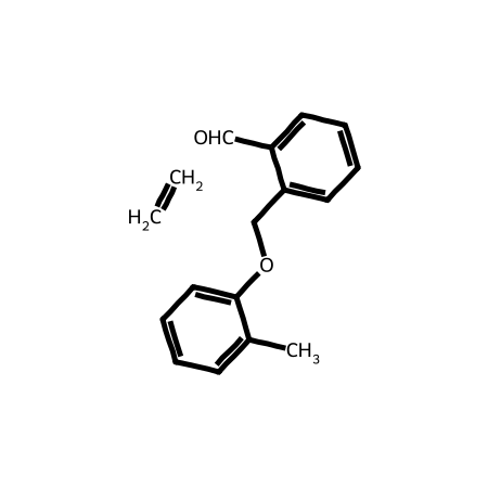 C=C.Cc1ccccc1OCc1ccccc1C=O